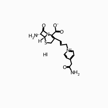 I.NC(=O)Cc1cc[n+](CC=CC2=C(C(=O)[O-])N3C(=O)[C@@H](N)[C@H]3SC2)cc1